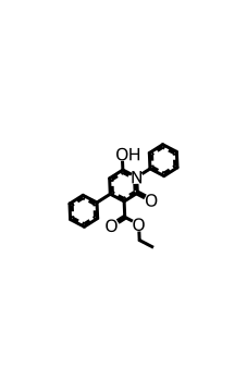 CCOC(=O)c1c(-c2ccccc2)cc(O)n(-c2ccccc2)c1=O